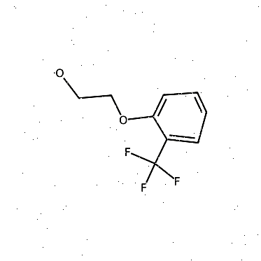 [O]CCOc1ccccc1C(F)(F)F